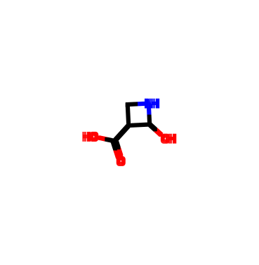 O=C(O)C1CNC1O